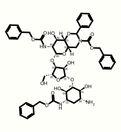 N[C@@H]1C[C@H](NC(=O)OCc2ccccc2)[C@@H](O)[C@H](O[C@@H]2O[C@H](CO)[C@@H](O[C@H]3O[C@H]4CN(C(=O)OCc5ccccc5)C(c5ccccc5)O[C@H]4[C@H](O)[C@H]3NC(=O)OCc3ccccc3)[C@H]2O)[C@H]1O